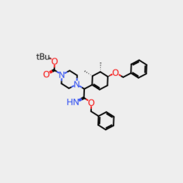 C[C@@H]1[C@@H](OCc2ccccc2)CC=C(C(C(=N)OCc2ccccc2)N2CCN(C(=O)OC(C)(C)C)CC2)[C@@H]1C